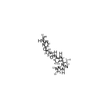 CCc1cnc(Nc2cc(C)n(C)n2)nc1-c1c[nH]c2c(NC(=O)CN3CC[C@H](Oc4ccnc(NC5CC5)n4)C3)cccc12